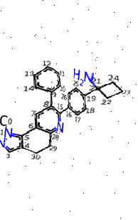 Cn1ncc2c1-c1cc(-c3ccccc3)c(-c3ccc(C4(N)CCC4)cc3)nc1CC2